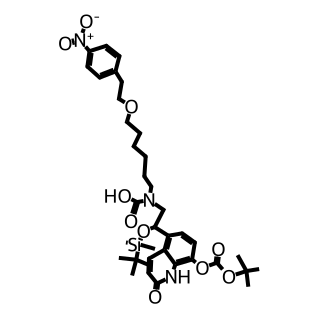 CC(C)(C)OC(=O)Oc1ccc(C(CN(CCCCCCOCCc2ccc([N+](=O)[O-])cc2)C(=O)O)O[Si](C)(C)C(C)(C)C)c2ccc(=O)[nH]c12